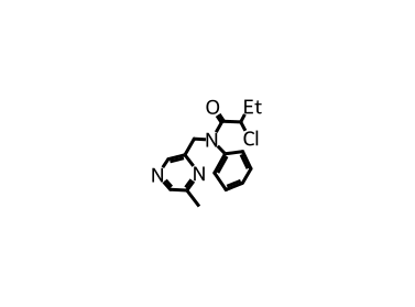 CCC(Cl)C(=O)N(Cc1cncc(C)n1)c1ccccc1